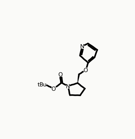 CC(C)(C)OC(=O)N1CCC[C@@H]1COc1cccnc1